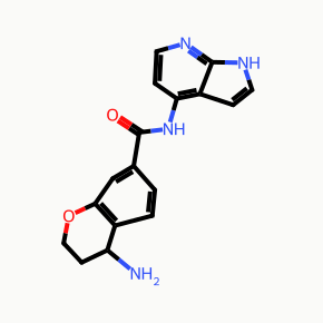 NC1CCOc2cc(C(=O)Nc3ccnc4[nH]ccc34)ccc21